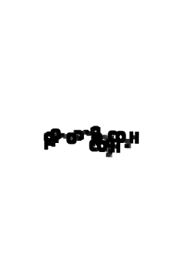 O=C(O)Cn1cc(Cc2ccccc2C(=O)O)c2cccc(C=Cc3ccc(OCCCCOc4cccc(F)c4F)cc3)c21